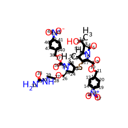 C[C@@H](O)[C@H]1C(=O)N2C(C(=O)OCc3ccc([N+](=O)[O-])cc3)=C(S[C@H]3C[C@@H](COCCNC(N)=O)N(C(=O)OCc4ccc([N+](=O)[O-])cc4)C3)[C@H](C)[C@H]12